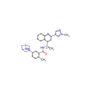 Cc1ccc(N2CC3CC(C2)N3)cc1C(=O)N[C@H](C)c1cc(-c2cnn(C)c2)nc2ccccc12